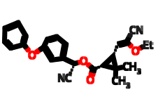 CCOC(C#N)=C[C@H]1[C@@H](C(=O)O[C@H](C#N)c2cccc(Oc3ccccc3)c2)C1(C)C